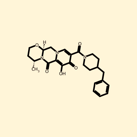 C[C@@H]1CCO[C@H]2Cn3cc(C(=O)N4CCC(Cc5ccccc5)CC4)c(=O)c(O)c3C(=O)N12